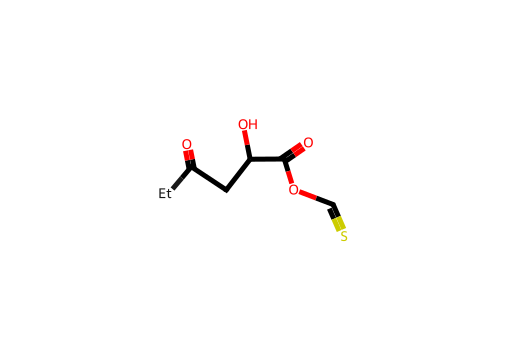 CCC(=O)CC(O)C(=O)OC=S